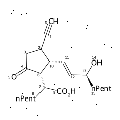 C#CC1CC(=O)[C@@H](C(CCCCC)C(=O)O)[C@H]1C=C[C@@H](O)CCCCC